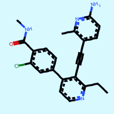 CCc1nccc(-c2ccc(C(=O)NC)c(Cl)c2)c1C#Cc1ccc(N)nc1C